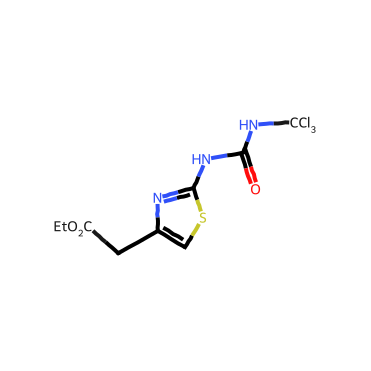 CCOC(=O)Cc1csc(NC(=O)NC(Cl)(Cl)Cl)n1